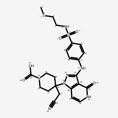 COCCNS(=O)(=O)c1ccc(Nc2nn(C3(CC#N)CCN(C(=O)O)CC3)c3cc[nH]c(=O)c23)cc1